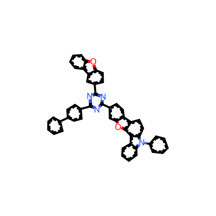 c1ccc(-c2ccc(-c3nc(-c4ccc5c(c4)oc4c5ccc5c4c4ccccc4n5-c4ccccc4)nc(-c4ccc5oc6ccccc6c5c4)n3)cc2)cc1